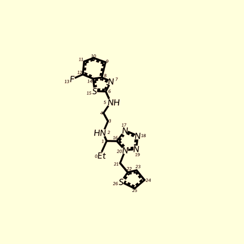 CCC(NCCNc1nc2cccc(F)c2s1)c1nnnn1Cc1cccs1